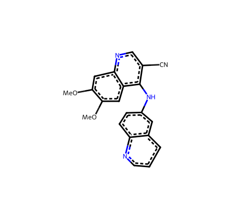 COc1cc2ncc(C#N)c(Nc3ccc4ncccc4c3)c2cc1OC